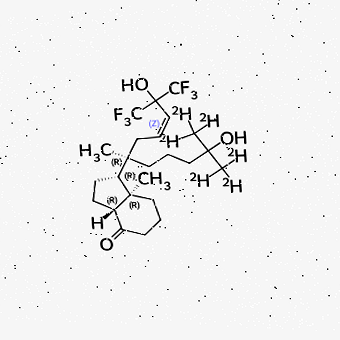 [2H]C([2H])([2H])C(O)(CCC[C@](C)(C/C=C\C(O)(C(F)(F)F)C(F)(F)F)[C@H]1CC[C@H]2C(=O)CCC[C@]12C)C([2H])([2H])[2H]